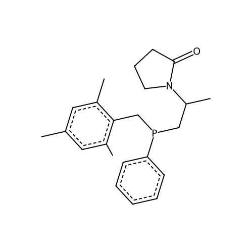 Cc1cc(C)c(CP(CC(C)N2CCCC2=O)c2ccccc2)c(C)c1